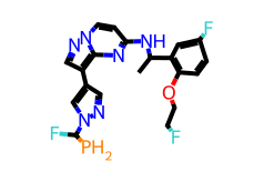 CC(Nc1ccn2ncc(-c3cnn(C(F)P)c3)c2n1)c1cc(F)ccc1OCCF